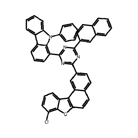 Clc1cccc2c1oc1ccc3ccc(-c4nc(-c5ccc6ccccc6c5)nc(-c5cccc6c7ccccc7n(-c7ccccc7)c56)n4)cc3c12